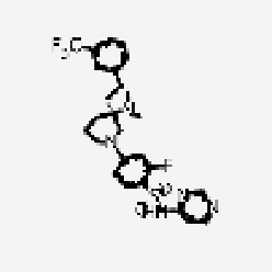 CN(C)[C@]1(CCc2cccc(C(F)(F)F)c2)CCCN(c2ccc(S(=O)(=O)Nc3ccncn3)c(F)c2)C1